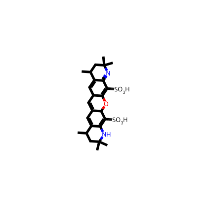 CC1CC(C)(C)N=C2C1=CC1C=C3C=C4C(=C(S(=O)(=O)O)C3OC1=C2S(=O)(=O)O)NC(C)(C)CC4C